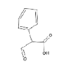 O=CC(C(=O)O)c1ccccc1